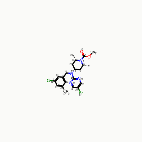 CC(C)OC(=O)N1[C@H](C)C[C@H](N(Cc2cc(Cl)cc(C(F)(F)F)c2)c2ncc(Br)cn2)C[C@@H]1C